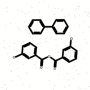 O=C(OC(=O)c1cccc(Cl)c1)c1cccc(Cl)c1.c1ccc(-c2ccccc2)cc1